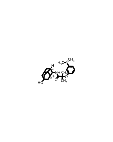 CN(C)c1cccc(OC(C)(C)C(=O)NC2[C@@H]3CC4C[C@H]2CC(O)(C4)C3)c1